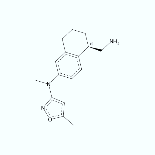 Cc1cc(N(C)c2ccc3c(c2)CCC[C@H]3CN)no1